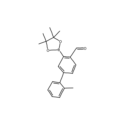 Cc1ccccc1-c1ccc(C=O)c(B2OC(C)(C)C(C)(C)O2)c1